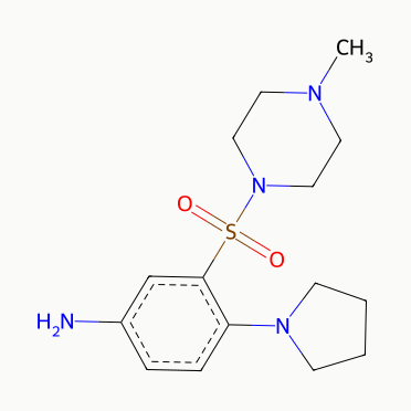 CN1CCN(S(=O)(=O)c2cc(N)ccc2N2CCCC2)CC1